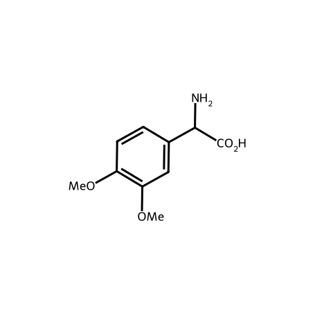 COc1ccc(C(N)C(=O)O)cc1OC